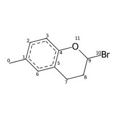 Cc1ccc2c(c1)CCC(Br)O2